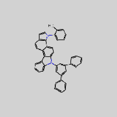 Cc1ccccc1-n1ccc2ccc3c(ccc4c3c3ccccc3n4-c3cc(-c4ccccc4)cc(-c4ccccc4)c3)c21